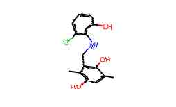 Cc1cc(O)c(C)c(CNc2c(O)cccc2Cl)c1O